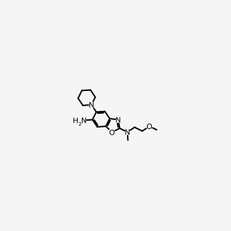 COCCN(C)c1nc2cc(N3CCCCC3)c(N)cc2o1